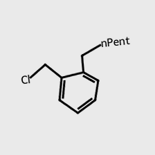 CCCCCCc1ccccc1CCl